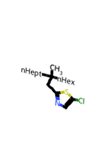 CCCCCCCC(C)(CCCCCC)Cc1ncc(Cl)s1